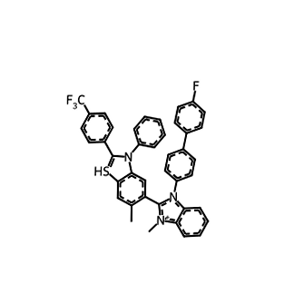 Cc1cc2c(cc1-c1n(-c3ccc(-c4ccc(F)cc4)cc3)c3ccccc3[n+]1C)N(c1ccccc1)C(c1ccc(C(F)(F)F)cc1)=[SH]2